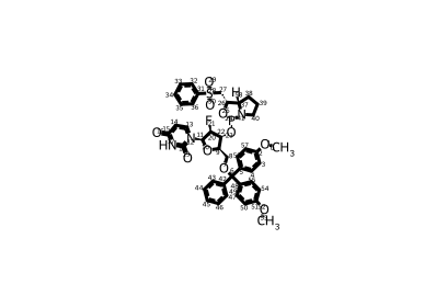 COc1ccc(C(OC[C@H]2O[C@@H](n3ccc(=O)[nH]c3=O)[C@@H](F)[C@@H]2O[P@]2O[C@H](CS(=O)(=O)c3ccccc3)[C@@H]3CCCN32)(c2ccccc2)c2ccc(OC)cc2)cc1